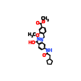 COC(=O)c1ccc(Cn2nc(O)c3ccc(NC(=O)CC4CCCC4)cc32)c(OC)c1